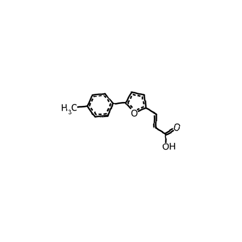 Cc1ccc(-c2ccc(C=CC(=O)O)o2)cc1